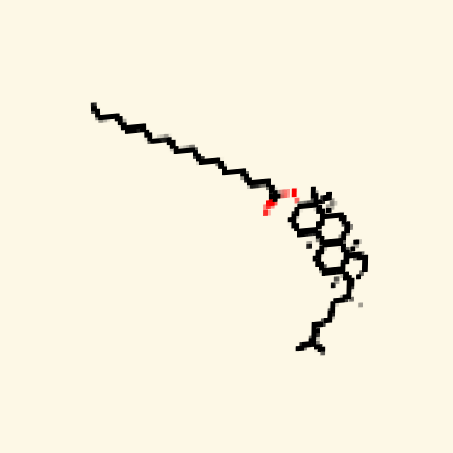 CCCCCCCCCCCCCCCC(=O)O[C@H]1CC[C@]2(C)C3=C(CC[C@H]2C1(C)C)[C@]1(C)CC[C@H]([C@H](C)CCC=C(C)C)[C@@]1(C)CC3